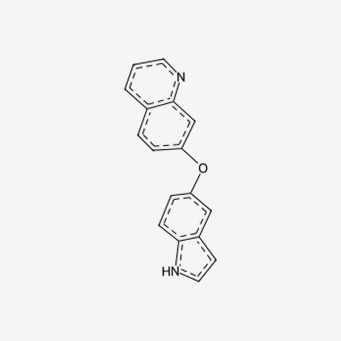 c1cnc2cc(Oc3ccc4[nH]ccc4c3)ccc2c1